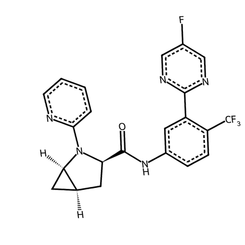 O=C(Nc1ccc(C(F)(F)F)c(-c2ncc(F)cn2)c1)[C@H]1C[C@H]2C[C@H]2N1c1ccccn1